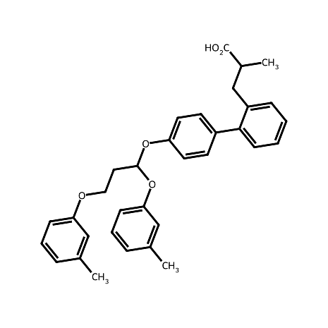 Cc1cccc(OCCC(Oc2ccc(-c3ccccc3CC(C)C(=O)O)cc2)Oc2cccc(C)c2)c1